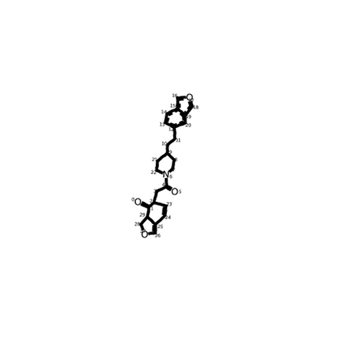 O=C1C(CC(=O)N2CCC(CCc3ccc4cocc4c3)CC2)C=CC2=COCC12